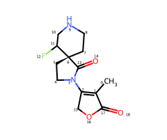 CC1=C(N2CC[C@@]3(CCNCC3F)C2=O)COC1=O